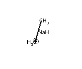 CCCCCCCCCCCCCCCCCCCCOC(C)=O.[NaH]